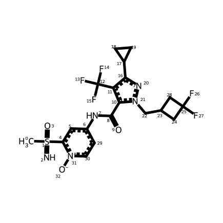 CS(=N)(=O)c1cc(NC(=O)c2c(C(F)(F)F)c(C3CC3)nn2CC2CC(F)(F)C2)cc[n+]1[O-]